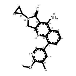 COc1ncc(-c2cccc3c(N)c4c(nc23)CN(C2CC2)C4=O)cc1C